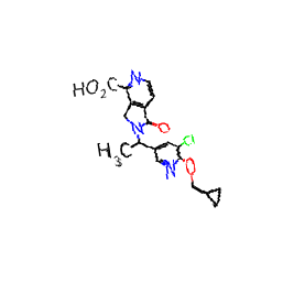 CC(c1cnc(OCC2CC2)c(Cl)c1)N1Cc2c(ccnc2C(=O)O)C1=O